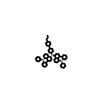 CCCc1ccc(-c2ccc(N(c3ccc4c5c(cccc35)N(c3ccccc3)c3ccccc3-4)c3ccc4c5c(cccc35)N(c3ccccc3)c3ccccc3-4)cc2)cc1